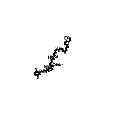 CC/C=C\C/C=C\C/C=C\C/C=C\C/C=C\C/C=C\CCC(=O)NCCCCC(NC(=O)C(C)(C)CCCOc1cc(C)ccc1C)C(=O)OC